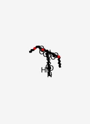 CCCCCC/C=C\COC(=O)CCCN(CCCC(=O)OC/C=C\CCCCCC)C(=O)OCCSSCCOC(=O)NCCN(C)C